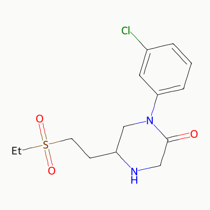 CCS(=O)(=O)CCC1CN(c2cccc(Cl)c2)C(=O)CN1